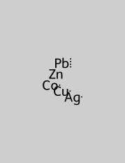 [Ag].[Co].[Cu].[Pb].[Zn]